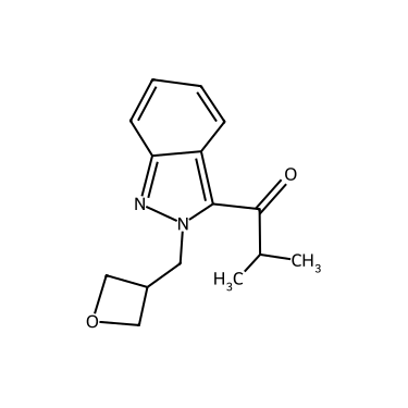 CC(C)C(=O)c1c2ccccc2nn1CC1COC1